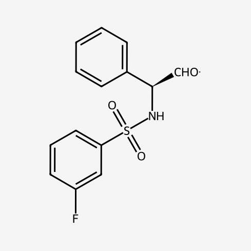 O=[C][C@@H](NS(=O)(=O)c1cccc(F)c1)c1ccccc1